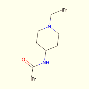 CC(C)CN1CCC(NC(=O)C(C)C)CC1